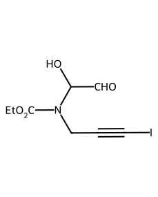 CCOC(=O)N(CC#CI)C(O)C=O